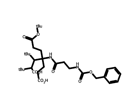 CC(C)(C)OC(=O)CCC(CCC(=O)O)(NC(=O)CCNC(=O)OCc1ccccc1)C(C(C(=O)O)C(C)(C)C)C(C)(C)C